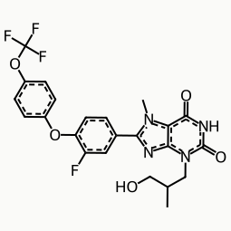 CC(CO)Cn1c(=O)[nH]c(=O)c2c1nc(-c1ccc(Oc3ccc(OC(F)(F)F)cc3)c(F)c1)n2C